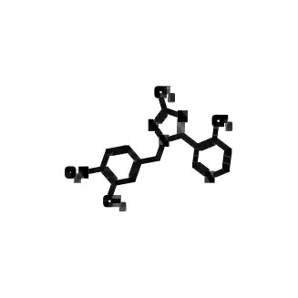 Cc1cc(Cn2nc(C(F)(F)F)nc2-c2cnccc2C(F)(F)F)ccc1[N+](=O)[O-]